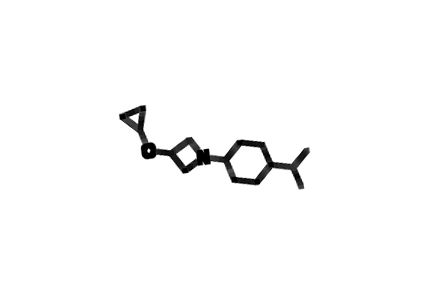 CC(C)C1CCC(N2CC(OC3CC3)C2)CC1